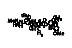 CNC(=N)NCCC[C@H](NC(=O)OC(C)(C)C)C(=O)NCC(C)(C)CN(C)C(=O)OC1=CC[C@@]2(O)[C@H]3Cc4ccc(OC)c5c4[C@@]2(CCN3C)[C@H]1O5